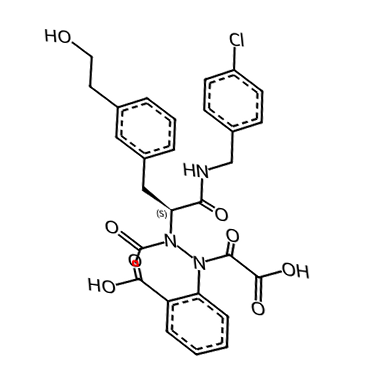 CC(=O)N([C@@H](Cc1cccc(CCO)c1)C(=O)NCc1ccc(Cl)cc1)N(C(=O)C(=O)O)c1ccccc1C(=O)O